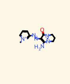 C[n+]1cccc(/N=N/c2c(N)n3n(c2=O)CCC3)c1